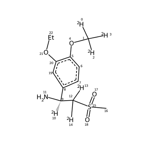 [2H]C([2H])([2H])Oc1ccc([C@]([2H])(N)C([2H])([2H])S(C)(=O)=O)cc1OCC